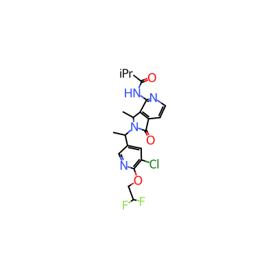 CC(C)C(=O)Nc1nccc2c1C(C)N(C(C)c1cnc(OCC(F)F)c(Cl)c1)C2=O